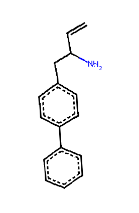 C=CC(N)Cc1ccc(-c2ccccc2)cc1